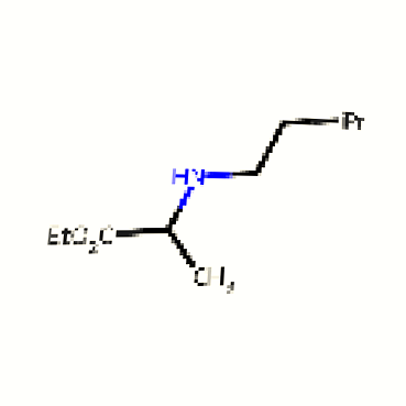 CCOC(=O)C(C)NCCC(C)C